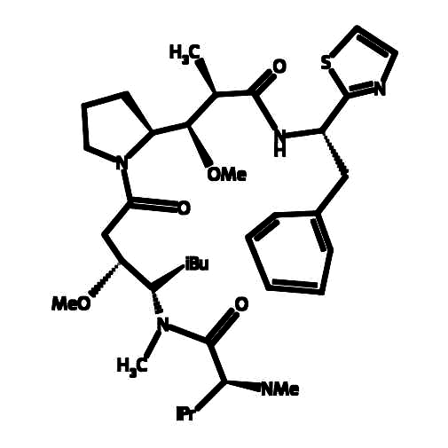 CC[C@H](C)[C@@H]([C@@H](CC(=O)N1CCC[C@H]1[C@H](OC)[C@@H](C)C(=O)N[C@@H](Cc1ccccc1)c1nccs1)OC)N(C)C(=O)[C@@H](NC)C(C)C